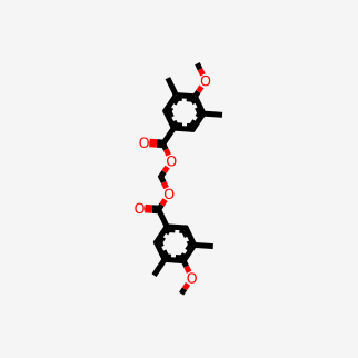 COc1c(C)cc(C(=O)OCOC(=O)c2cc(C)c(OC)c(C)c2)cc1C